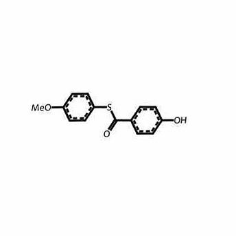 COc1ccc(SC(=O)c2ccc(O)cc2)cc1